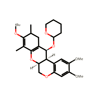 COc1cc2c(cc1OC)[C@@H]1[C@H](OC3CCCCO3)C3=C(O[C@@H]1CO2)C(C)=C(OC(C)(C)C)C(C)C3